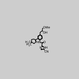 COCC(O)Cc1ccc(NC(=O)c2ncc(C#N)[nH]2)c(C2=CCC(C)(C)CC2)c1